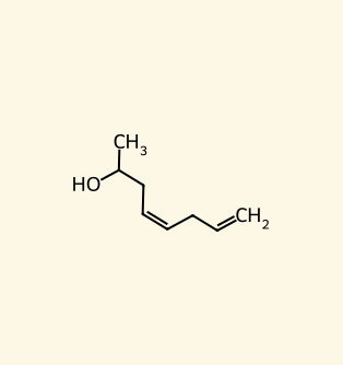 C=CC/C=C\CC(C)O